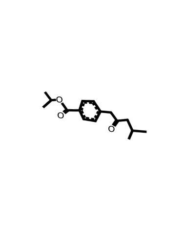 CC(C)CC(=O)Cc1ccc(C(=O)OC(C)C)cc1